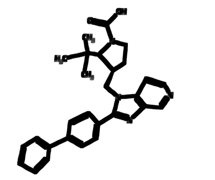 CC(C)(C)C1[C@H](Cn2c(-c3ccc(-c4ccccc4)cc3)nc3cnccc32)CCN1C(=O)O